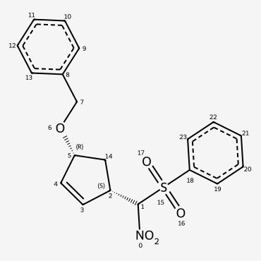 O=[N+]([O-])C([C@@H]1C=C[C@H](OCc2ccccc2)C1)S(=O)(=O)c1ccccc1